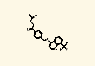 CC(=O)SCC(=O)c1ccc(CSc2ccnc3c(C(F)(F)F)cccc23)cc1